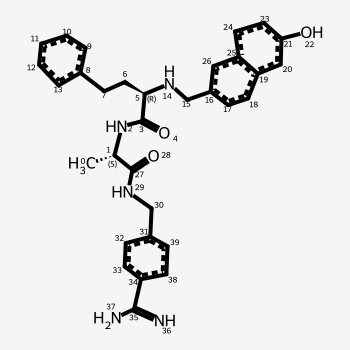 C[C@H](NC(=O)[C@@H](CCc1ccccc1)NCc1ccc2cc(O)ccc2c1)C(=O)NCc1ccc(C(=N)N)cc1